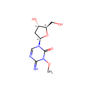 N=c1ncn([C@H]2C[C@H](O)[C@@H](CO)O2)c(=O)n1O[SiH3]